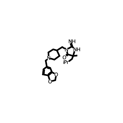 CC(C)CC1(C)NC(=N)N(CC2CCN(Cc3ccc4c(c3)OCO4)CC2)C1=O